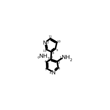 N.Nc1cnccc1-c1cccnc1